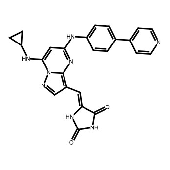 O=C1NC(=O)/C(=C/c2cnn3c(NC4CC4)cc(Nc4ccc(-c5ccncc5)cc4)nc23)N1